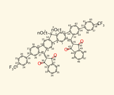 CCCCCCCCC1(CCCCCCCC)c2cc3c(cc2-c2cc4c(cc21)-c1ccc(-c2ccc(C(F)(F)F)cc2)cc1C4=C1C(=O)c2ccccc2C1=O)C(=C1C(=O)c2ccccc2C1=O)c1cc(-c2ccc(C(F)(F)F)cc2)ccc1-3